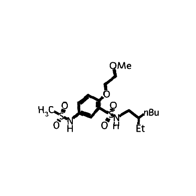 CCCCC(CC)CNS(=O)(=O)c1cc(NS(C)(=O)=O)ccc1OCCOC